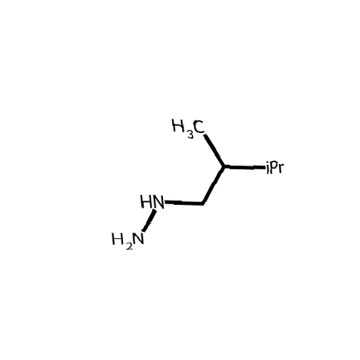 CC(C)C(C)CNN